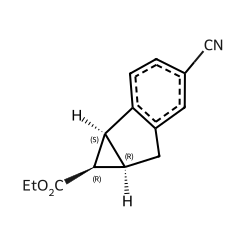 CCOC(=O)[C@@H]1[C@@H]2Cc3cc(C#N)ccc3[C@@H]21